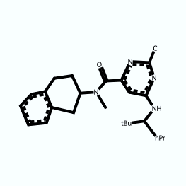 CCCC(Nc1cc(C(=O)N(C)C2CCc3ccccc3C2)nc(Cl)n1)C(C)(C)C